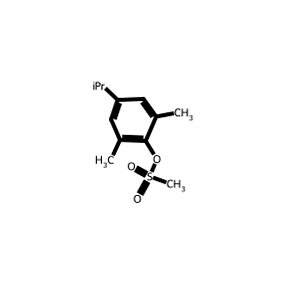 Cc1cc(C(C)C)cc(C)c1OS(C)(=O)=O